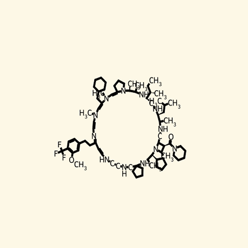 CC[C@H](C)[C@H]1CN[C@@H](CC(C)C)C(C)NCC2[C@@H](C(=O)N3CCCCC3)C(C)N2[C@@H](C2CCCC2)C(C)NC2(CCCC2)CNCCNC=CC(CCc2ccc(C(F)(F)F)c(OC)c2)=NC=CN(C)C=C(CC2CCCCC2)N(C)C=C2CCCN2[C@@H](C)C(C)N1